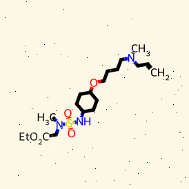 C=CCN(C)CCCCOC1CCC(NS(=O)(=O)N(C)CC(=O)OCC)CC1